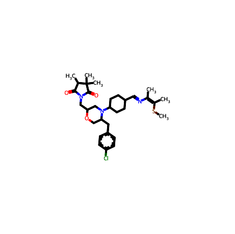 CS/C(C)=C(C)\N=C\C1CCC(N2CC(CN3C(=O)C(C)C(C)(C)C3=O)OCC2Cc2ccc(Cl)cc2)CC1